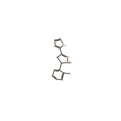 Fc1ccccc1C1CC(c2cccs2)=NN1